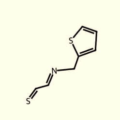 S=CC=NCc1cccs1